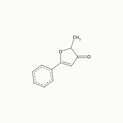 CC1OC(c2ccccc2)=CC1=O